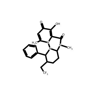 Cc1cc(=O)c(O)c2n1N1C(c3ccccc3)C(CC(F)(F)F)CCC1N(C)C2=O